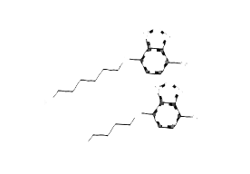 O=[N+]([O-])c1ccc(SCCCCCCO)c2nonc12.O=[N+]([O-])c1ccc(SCCCCO)c2nonc12